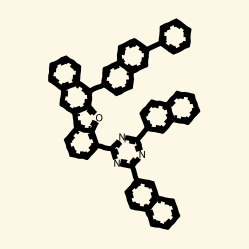 c1ccc(-c2ccc3cc(-c4c5ccccc5cc5c4oc4c(-c6nc(-c7ccc8ccccc8c7)nc(-c7ccc8ccccc8c7)n6)cccc45)ccc3c2)cc1